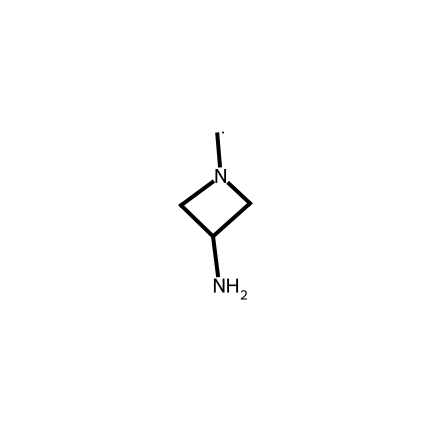 [CH2]N1CC(N)C1